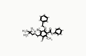 Cc1c(F)c(CNCC(C)(C)C)c(Br)c(OCc2ccccc2)c1C(=O)Oc1ccccc1